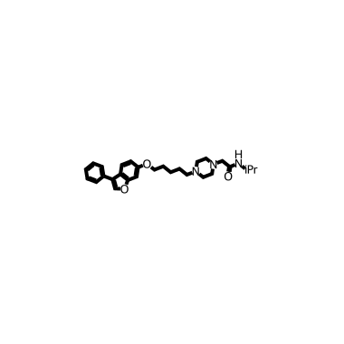 CC(C)NC(=O)CN1CCN(CCCCCOc2ccc3c(-c4ccccc4)coc3c2)CC1